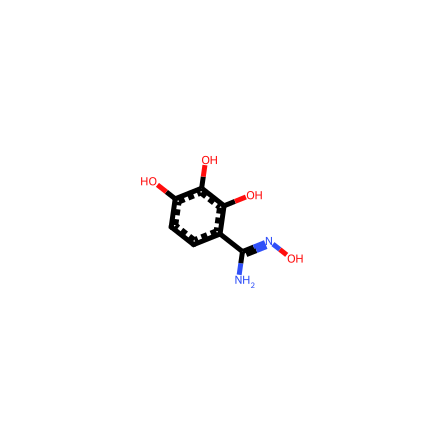 NC(=NO)c1ccc(O)c(O)c1O